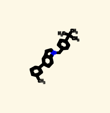 Cc1cccc(-c2ccc3c([c]cn3Cc3ccc(C(C)(C)C)cc3)c2)c1